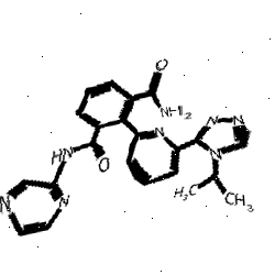 CC(C)n1cnnc1-c1cccc(-c2c(C(N)=O)cccc2C(=O)Nc2cnccn2)n1